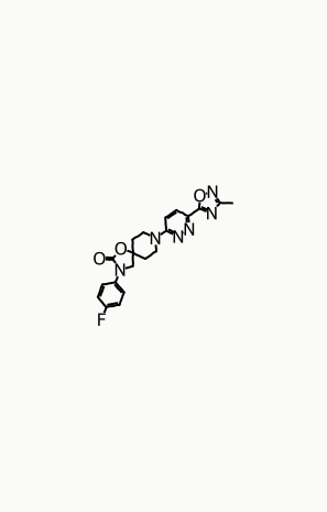 Cc1noc(-c2ccc(N3CCC4(CC3)CN(c3ccc(F)cc3)C(=O)O4)nn2)n1